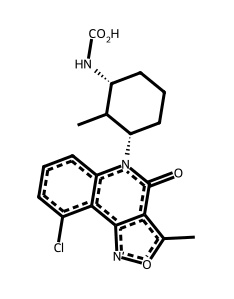 Cc1onc2c1c(=O)n([C@H]1CCC[C@@H](NC(=O)O)C1C)c1cccc(Cl)c21